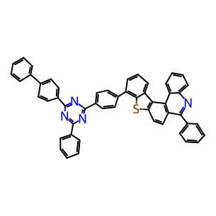 c1ccc(-c2ccc(-c3nc(-c4ccccc4)nc(-c4ccc(-c5cccc6c5sc5ccc7c(-c8ccccc8)nc8ccccc8c7c56)cc4)n3)cc2)cc1